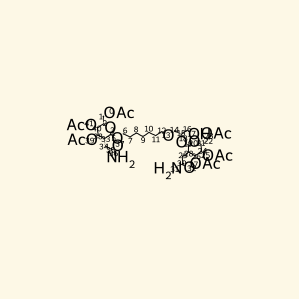 CC(=O)OC[C@H]1O[C@@H](OCCCCCCCOC[C@@H](CO)O[C@@H]2O[C@H](COC(C)=O)[C@H](OC(C)=O)[C@H](OC(C)=O)[C@H]2CC(N)=O)[C@H](CC(N)=O)[C@@H](OC(C)=O)[C@H]1OC(C)=O